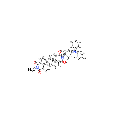 CN1C(=O)c2ccc3c4ccc5c6c(ccc(c7ccc(c2c37)C1=O)c64)C(=O)N(C1=CC=C(N(C2=CCCC=C2)c2ccccc2)CC1)C5=O